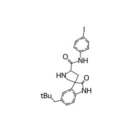 CC(C)(C)Cc1ccc2c(c1)C1(CNC(C(=O)Nc3ccc(I)cc3)C1)C(=O)N2